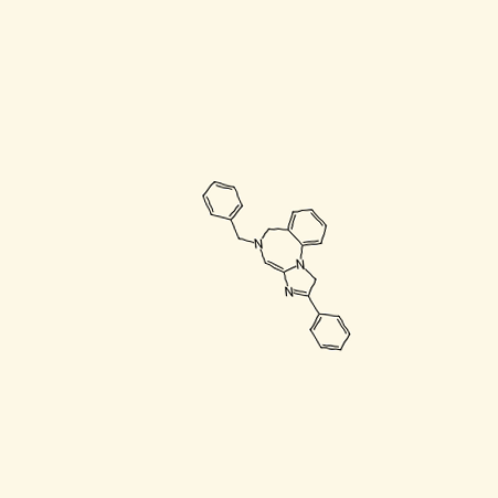 C1=C2N=C(c3ccccc3)CN2c2ccccc2CN1Cc1ccccc1